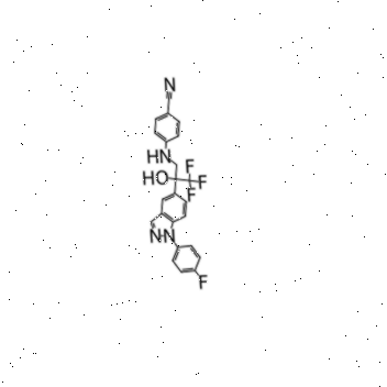 N#Cc1ccc(NCC(O)(c2ccc3c(cnn3-c3ccc(F)cc3)c2)C(F)(F)F)cc1